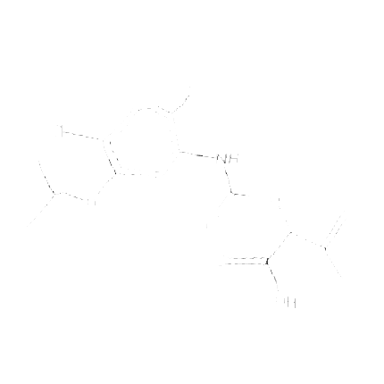 C=C(C)C(OC(=O)Nc1cc(OC(C)C)c(Cl)cc1Cl)C(=O)O